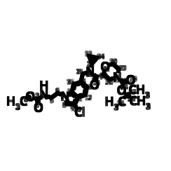 COC(=O)NCCn1cc(Cl)c2ccc(CN(C(=O)[C@H]3CN(C(=O)OC(C)(C)C)CCO3)C3CC3)cc21